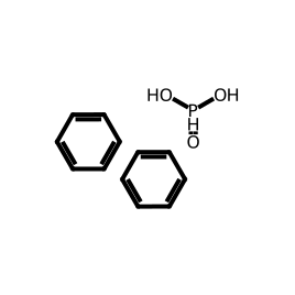 O=[PH](O)O.c1ccccc1.c1ccccc1